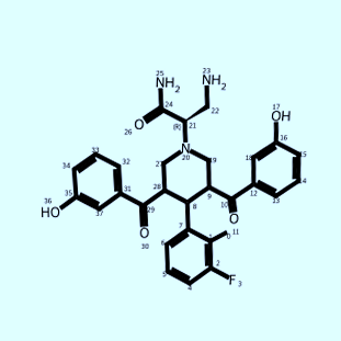 Cc1c(F)cccc1C1C(C(=O)c2cccc(O)c2)CN([C@H](CN)C(N)=O)CC1C(=O)c1cccc(O)c1